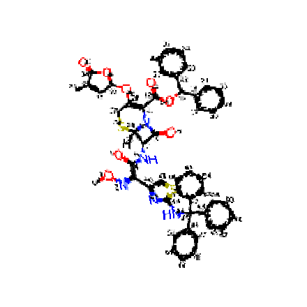 CO/N=C(\C(=O)N[C@@H]1C(=O)N2C(C(=O)OC(c3ccccc3)c3ccccc3)=C(OC3C=C(C)C(=O)O3)CS[C@@H]12)c1csc(NC(c2ccccc2)(c2ccccc2)c2ccccc2)n1